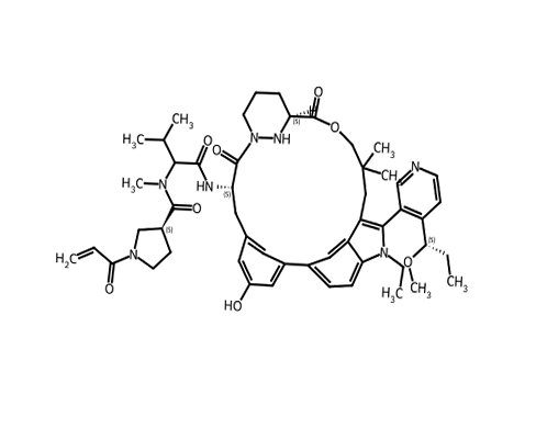 C=CC(=O)N1CC[C@H](C(=O)N(C)C(C(=O)N[C@H]2Cc3cc(O)cc(c3)-c3ccc4c(c3)c(c(-c3cnccc3[C@H](CC)OC)n4CC)CC(C)(C)COC(=O)[C@@H]3CCCN(N3)C2=O)C(C)C)C1